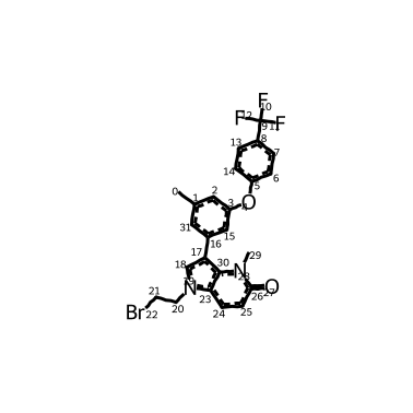 Cc1cc(Oc2ccc(C(F)(F)F)cc2)cc(-c2cn(CCBr)c3ccc(=O)n(C)c23)c1